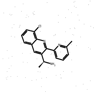 Cc1cccc(-c2nc3c(Cl)cccc3cc2[C@H](C)N)n1